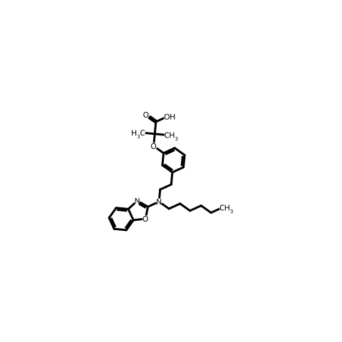 CCCCCCN(CCc1cccc(OC(C)(C)C(=O)O)c1)c1nc2ccccc2o1